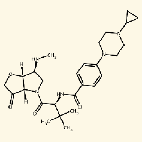 CN[C@H]1CN(C(=O)[C@@H](NC(=O)c2ccc(N3CCN(C4CC4)CC3)cc2)C(C)(C)C)[C@@H]2C(=O)CO[C@H]12